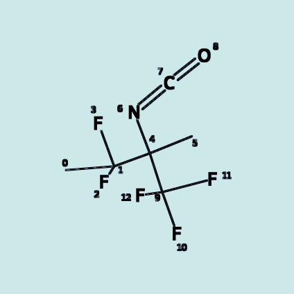 CC(F)(F)C(C)(N=C=O)C(F)(F)F